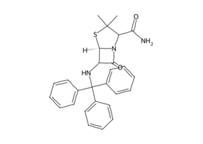 CC1(C)S[C@@H]2C(NC(c3ccccc3)(c3ccccc3)c3ccccc3)C(=O)N2C1C(N)=O